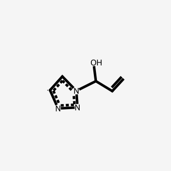 C=CC(O)n1c[c]nn1